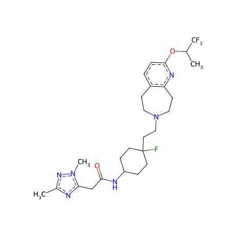 Cc1nc(CC(=O)NC2CCC(F)(CCN3CCc4ccc(OC(C)C(F)(F)F)nc4CC3)CC2)n(C)n1